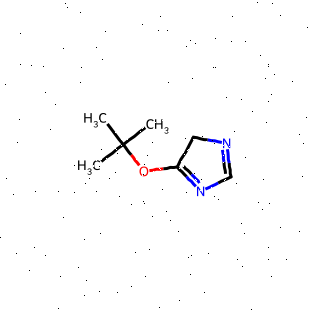 CC(C)(C)OC1=NC=NC1